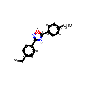 CC(C)Cc1ccc(-c2noc(-c3ccc(C=O)cc3)n2)cc1